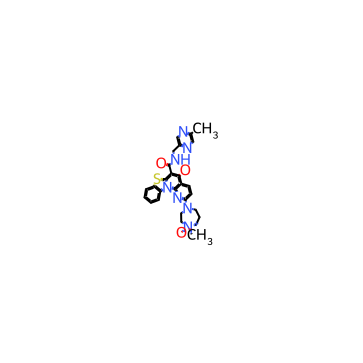 Cc1cnc(CNC(=O)c2c(=O)c3ccc(N4CCC[N+](C)([O-])CC4)nc3n3c2sc2ccccc23)cn1